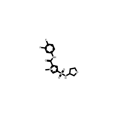 Cn1cc(S(=O)(=O)NC2CCOC2)cc1C(=O)Nc1ccc(F)c(F)c1